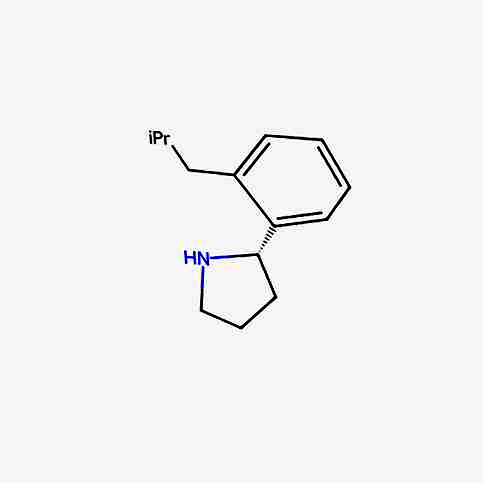 CC(C)Cc1ccccc1[C@@H]1CCCN1